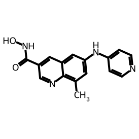 Cc1cc(Nc2ccncc2)cc2cc(C(=O)NO)cnc12